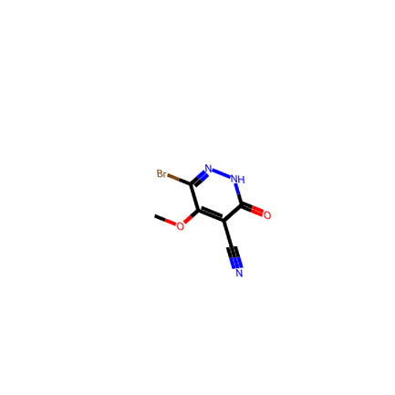 COc1c(Br)n[nH]c(=O)c1C#N